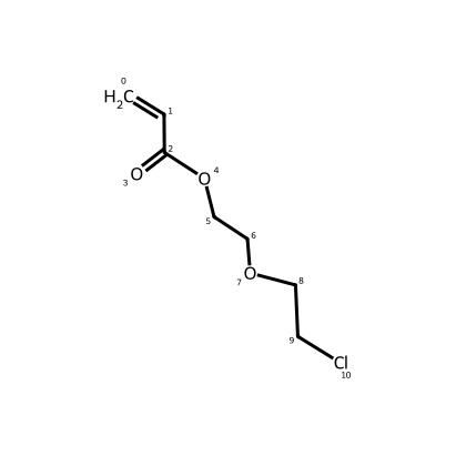 C=CC(=O)OCCOCCCl